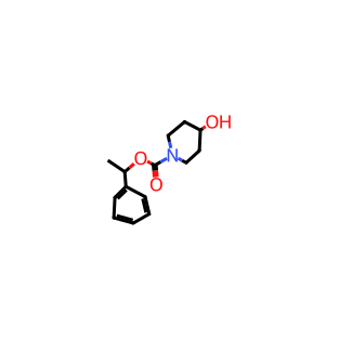 CC(OC(=O)N1CCC(O)CC1)c1ccccc1